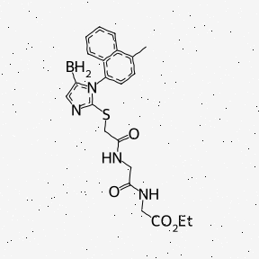 Bc1cnc(SCC(=O)NCC(=O)NCC(=O)OCC)n1-c1ccc(C)c2ccccc12